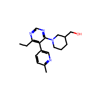 CCc1ncnc(N2CCCC(CO)C2)c1-c1ccc(C)nc1